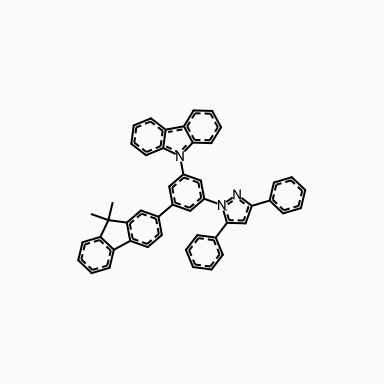 CC1(C)c2ccccc2-c2ccc(-c3cc(-n4nc(-c5ccccc5)cc4-c4ccccc4)cc(-n4c5ccccc5c5ccccc54)c3)cc21